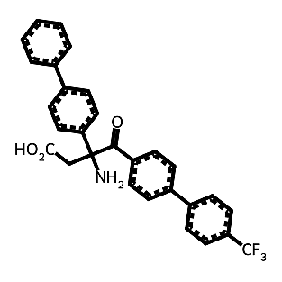 NC(CC(=O)O)(C(=O)c1ccc(-c2ccc(C(F)(F)F)cc2)cc1)c1ccc(-c2ccccc2)cc1